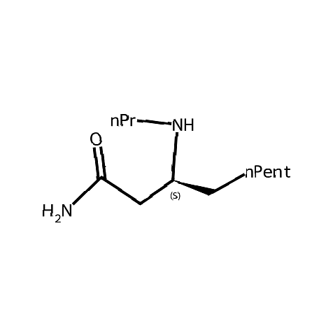 CCCCCC[C@@H](CC(N)=O)NCCC